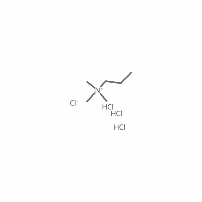 CCC[N+](C)(C)C.Cl.Cl.Cl.[Cl-]